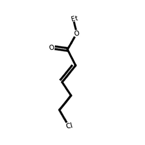 CCOC(=O)C=CCCCl